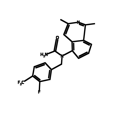 Cc1cc2c(N(Cc3ccc(C(F)(F)F)c(F)c3)C(N)=O)cccc2c(C)n1